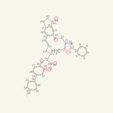 Cc1oc(-c2ccccc2)nc1COc1cc2c(cc1/C=C/CCC(Oc1ccc(-c3ccc(F)cc3)cc1)C(=O)O)CCC2=O